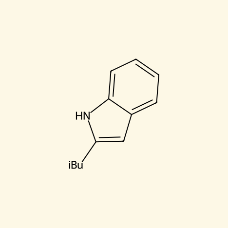 [CH2]CC(C)c1cc2ccccc2[nH]1